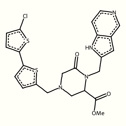 COC(=O)C1CN(Cc2ccc(-c3ccc(Cl)s3)s2)CC(=O)N1Cc1cc2cnccc2[nH]1